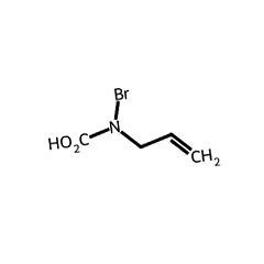 C=CCN(Br)C(=O)O